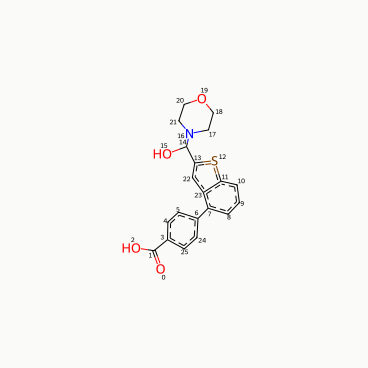 O=C(O)c1ccc(-c2cccc3sc(C(O)N4CCOCC4)cc23)cc1